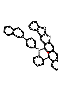 c1ccc(N(c2ccc(-c3ccc4ccccc4c3)cc2)c2cccc3nc4oc5ccccc5c4cc23)c(-c2cccc3ccccc23)c1